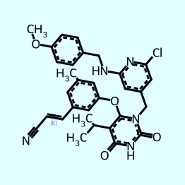 COc1ccc(CNc2cc(Cn3c(Oc4cc(C)cc(/C=C/C#N)c4)c(C(C)C)c(=O)[nH]c3=O)cc(Cl)n2)cc1